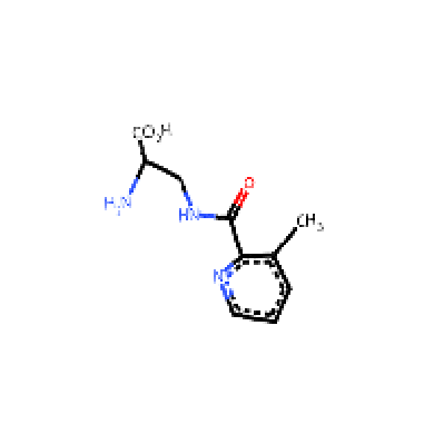 Cc1cccnc1C(=O)NCC(N)C(=O)O